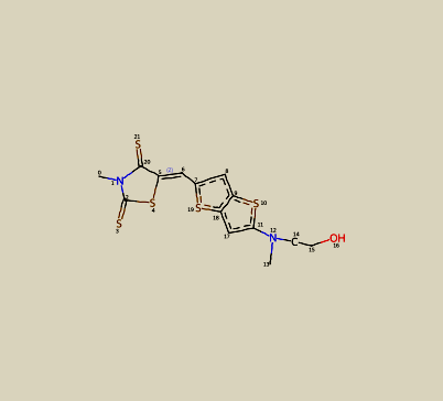 CN1C(=S)S/C(=C\c2cc3sc(N(C)CCO)cc3s2)C1=S